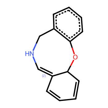 C1=C/C2=C/NCc3ccccc3OC2C=C1